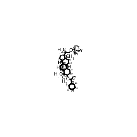 CC(C)[Si](OC[C@@H](C)[C@H]1CC[C@H]2C3=CC=C4C(C)(C)C(OC(=O)c5ccccc5)CC[C@]4(C)[C@H]3CC[C@]12C)(C(C)C)C(C)C